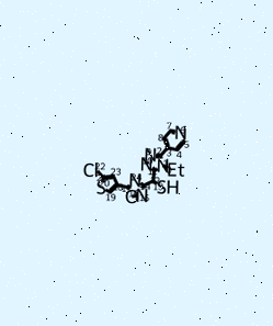 CCn1c(-c2ccncc2)nnc1C(S)c1noc(-c2csc(Cl)c2)n1